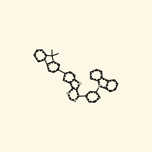 CC1(C)c2ccccc2-c2ccc(-c3ccc4oc5c(-c6cccc(-n7c8ccccc8c8ccccc87)c6)ncnc5c4c3)cc21